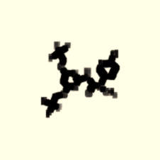 CN(C(=O)Nc1nc(OCC(F)(F)F)cc(OCC(F)(F)F)n1)c1ccc(Cl)nc1